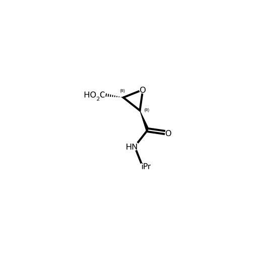 CC(C)NC(=O)[C@@H]1O[C@H]1C(=O)O